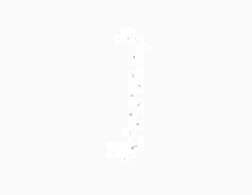 CCCCCCCCCCCCCCCCCCOC(=O)O